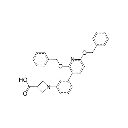 O=C(O)C1CN(c2cccc(-c3ccc(OCc4ccccc4)nc3OCc3ccccc3)c2)C1